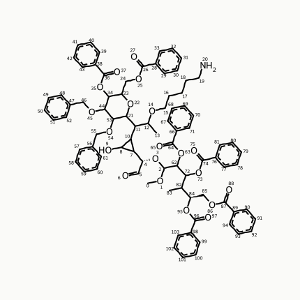 COC(O[C@H](C=O)C1C(O)C1C(C(C)OCCCCCN)C1OC(COC(=O)c2ccccc2)C(OC(=O)c2ccccc2)C(OCc2ccccc2)C1OCc1ccccc1)C(OC(=O)c1ccccc1)C(OC(=O)c1ccccc1)C(C)[C@@H](COC(=O)c1ccccc1)OC(=O)c1ccccc1